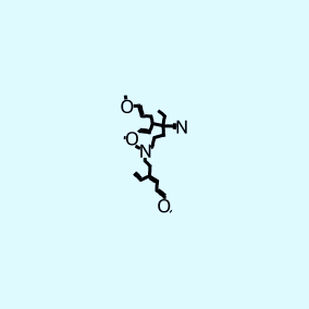 C=C/C(=C\C=C\OC)CCN(C)CCCC(C#N)(CC)C(/C=C/OC)C/C=C/OC